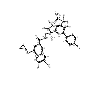 Cc1nc2c(OC3CC3)cc(C(=O)NC[C@](O)(c3cc4c(c(-c5ccc(F)cc5)n3)OC[C@]4(C)C(N)=O)C3(F)CC3)cc2cc1Cl